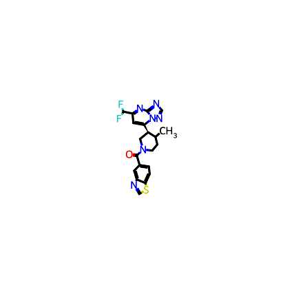 CC1CCN(C(=O)c2ccc3scnc3c2)C[C@H]1c1cc(C(F)F)nc2ncnn12